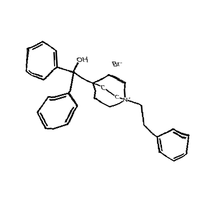 OC(c1ccccc1)(c1ccccc1)C12CC[N+](CCc3ccccc3)(CC1)CC2.[Br-]